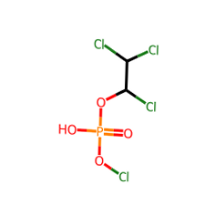 O=P(O)(OCl)OC(Cl)C(Cl)Cl